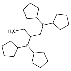 CCC(CP(C1CCCC1)C1CCCC1)P(C1CCCC1)C1CCCC1